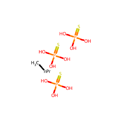 CCCC.OP(O)(O)=S.OP(O)(O)=S.OP(O)(O)=S